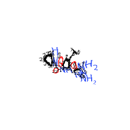 COc1cc(C(C)C)c(Oc2cnc(N)nc2N)cc1NC1OC1Nc1ccccc1